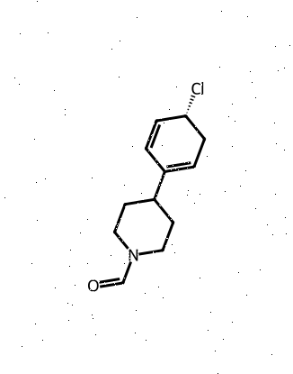 O=CN1CCC(C2=CC[C@@H](Cl)C=C2)CC1